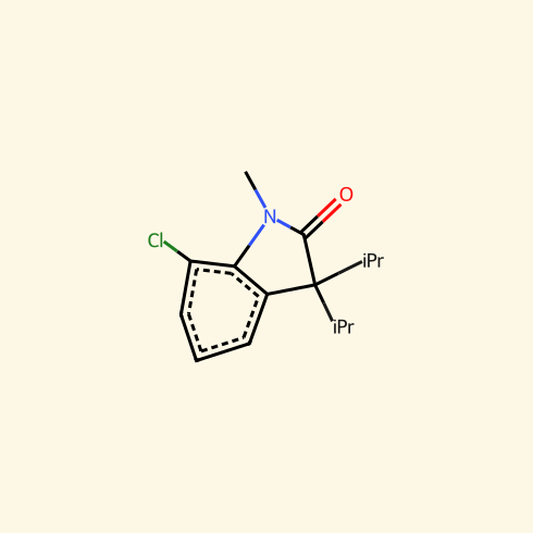 CC(C)C1(C(C)C)C(=O)N(C)c2c(Cl)cccc21